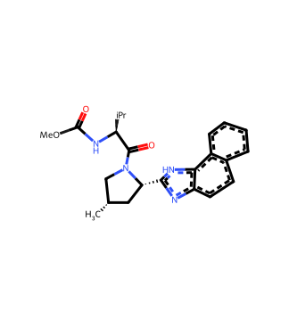 COC(=O)N[C@H](C(=O)N1C[C@@H](C)C[C@H]1c1nc2ccc3ccccc3c2[nH]1)C(C)C